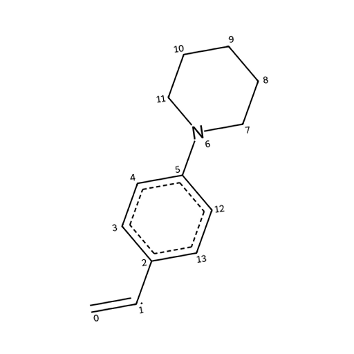 C=[C]c1ccc(N2CCCCC2)cc1